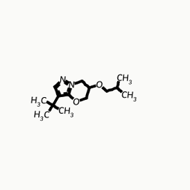 CC(C)COC1COc2c(C(C)(C)C)cnn2C1